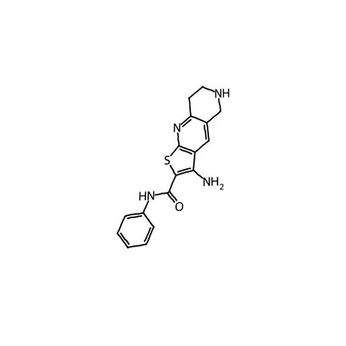 Nc1c(C(=O)Nc2ccccc2)sc2nc3c(cc12)CNCC3